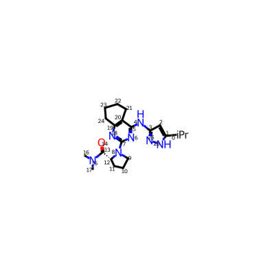 CC(C)c1cc(Nc2nc(N3CCC[C@@H]3C(=O)N(C)C)nc3c2CCCC3)n[nH]1